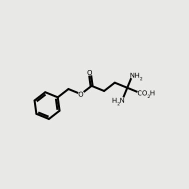 NC(N)(CCC(=O)OCc1ccccc1)C(=O)O